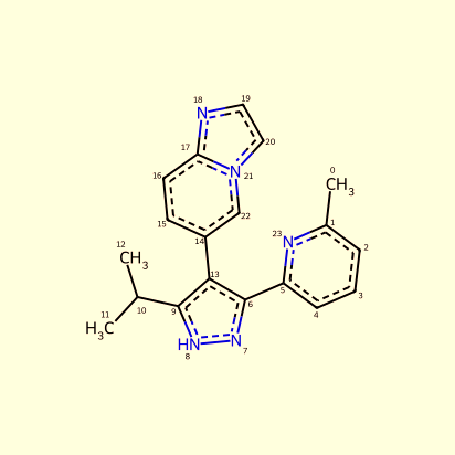 Cc1cccc(-c2n[nH]c(C(C)C)c2-c2ccc3nccn3c2)n1